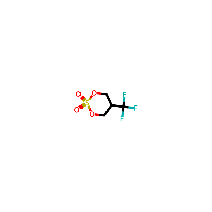 O=S1(=O)OCC(C(F)(F)F)CO1